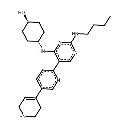 CCCCNc1ncc(-c2ccc(C3=CCNCC3)cn2)c(N[C@H]2CC[C@H](O)CC2)n1